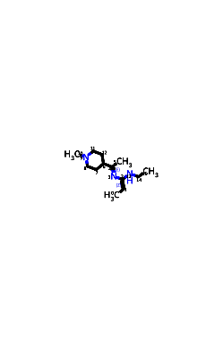 C/C=C(\N=C(/C)C1CCN(C)CC1)NCC